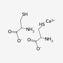 NC(CS)C(=O)[O-].NC(CS)C(=O)[O-].[Ca+2]